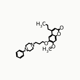 CCCc1cc(=O)oc2cc(OC)c(OCCCN3CCN(c4ccccc4)CC3)cc12